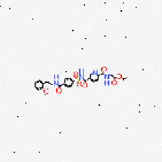 CCOC(=O)CNC(=O)c1ccc(C(=O)NS(=O)(=O)c2ccc(C(=O)NCCc3ccccc3OC)cc2)cn1